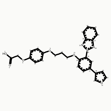 O=C(O)COc1ccc(OCCCOc2ccc(-c3ccoc3)cc2-n2nc3ccccc3n2)cc1